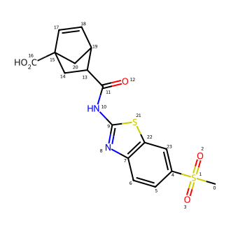 CS(=O)(=O)c1ccc2nc(NC(=O)C3CC4(C(=O)O)C=CC3C4)sc2c1